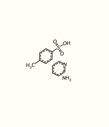 Cc1ccc(S(=O)(=O)O)cc1.N.c1ccncc1